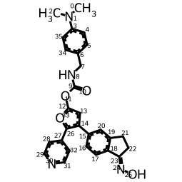 CN(C)c1ccc(CNC(=O)Oc2cc(-c3ccc4c(c3)CCC4=NO)c(-c3ccncc3)o2)cc1